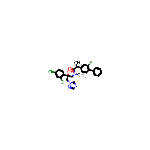 CC(C(=O)N(C)CC(O)(Cn1cncn1)c1ccc(Cl)cc1Cl)c1ccc(-c2ccccc2)c(F)c1